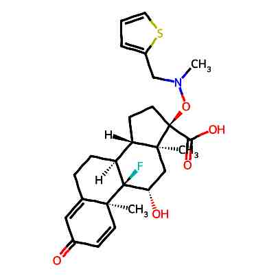 CN(Cc1cccs1)O[C@]1(C(=O)O)CC[C@H]2[C@@H]3CCC4=CC(=O)C=C[C@]4(C)[C@@]3(F)[C@@H](O)C[C@@]21C